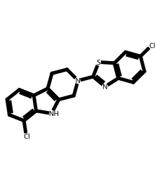 Clc1ccc2nc(N3CCc4c([nH]c5c(Cl)cccc45)C3)sc2c1